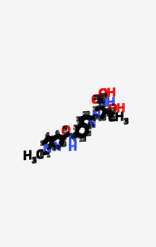 CCn1ccc2cc(C(=O)N[C@H]3CCc4nc(N5CC(NC(=O)O)C(C(C)O)C5)ccc4C3)cnc21